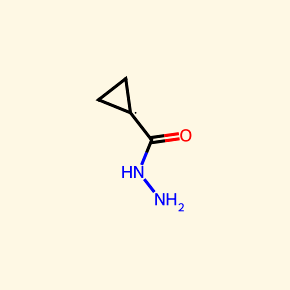 NNC(=O)[C]1CC1